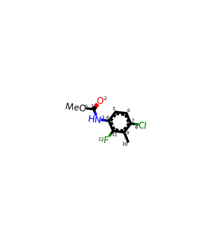 COC(=O)Nc1ccc(Cl)c(C)c1F